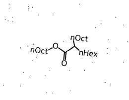 CCCCCCCCOC(=O)C(CCCCCC)CCCCCCCC